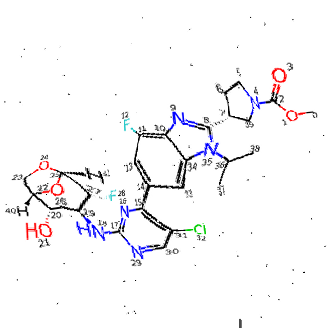 COC(=O)N1CC[C@@H](c2nc3c(F)cc(-c4nc(N[C@H]5[C@H](O)[C@@H]6CO[C@@H](O6)[C@@H]5F)ncc4Cl)cc3n2C(C)C)C1